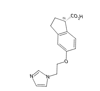 O=C(O)[C@H]1CCc2cc(OCCn3ccnc3)ccc21